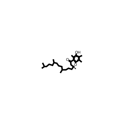 Cc1c(C)c2c(c(C)c1O)C(=O)C[C@@](C)(CCCC(C)CCCC(C)CCCC(C)C)O2